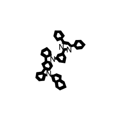 c1ccc(-c2cc(-c3ccccc3)nc(-c3cccc(-n4c5ccccc5c5cc6c7ccccc7n(-c7ccc8ccccc8c7)c6cc54)c3)n2)cc1